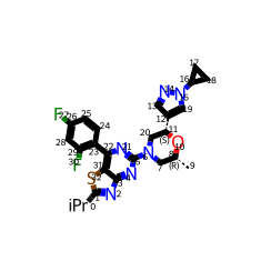 CC(C)c1nc2nc(N3C[C@@H](C)O[C@@H](c4cnn(C5CC5)c4)C3)nc(-c3ccc(F)cc3F)c2s1